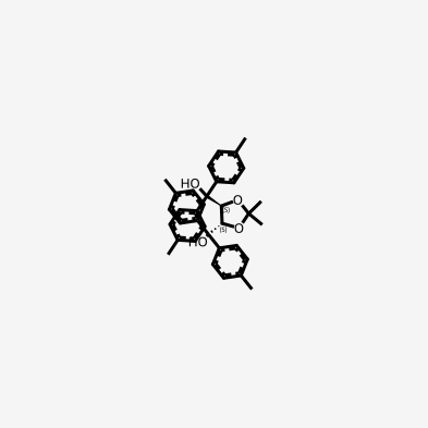 Cc1ccc(C(O)(c2ccc(C)cc2)[C@H]2OC(C)(C)O[C@@H]2C(O)(c2ccc(C)cc2)c2ccc(C)cc2)cc1